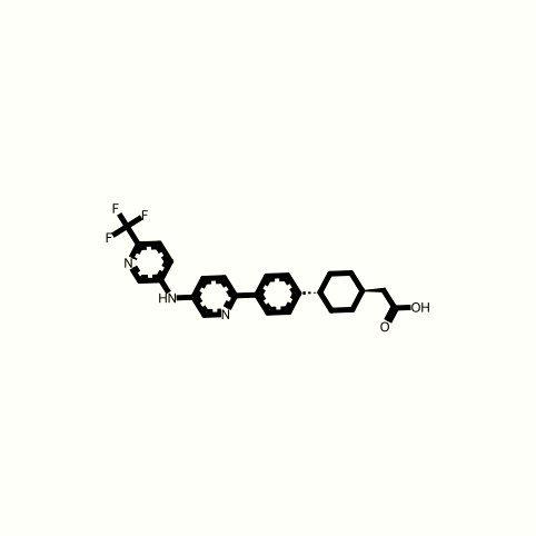 O=C(O)C[C@H]1CC[C@H](c2ccc(-c3ccc(Nc4ccc(C(F)(F)F)nc4)cn3)cc2)CC1